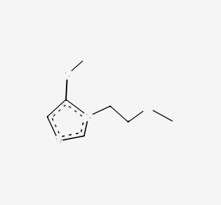 CNc1cncn1CCOC